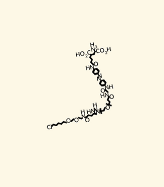 CC(C)(CCC(=O)NCC(=O)Nc1ccc(/N=N/c2ccc(NC(=O)CCC[C@@H](C[C@H](N)C(=O)O)C(=O)O)cc2)cc1)OCCC(C)(C)N1C=C(CCC(=O)NCCOCCOCCCCCCCl)NN1